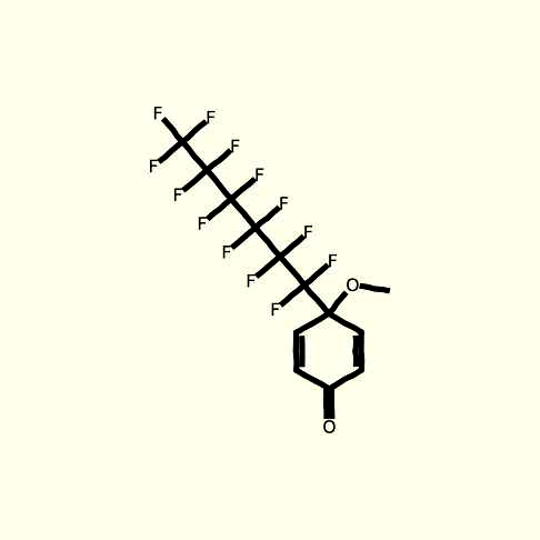 COC1(C(F)(F)C(F)(F)C(F)(F)C(F)(F)C(F)(F)C(F)(F)F)C=CC(=O)C=C1